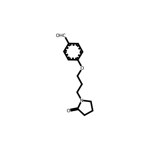 O=Cc1ccc(OCCCN2CCCC2=O)cc1